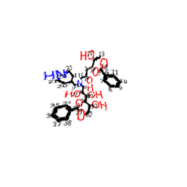 O[C@H](C[C@@H]1OC(c2ccccc2)OC[C@H]1O)CN(CC1CCNCC1)C[C@H](O)[C@@H](O)[C@@H]1OC(c2ccccc2)OC[C@H]1O